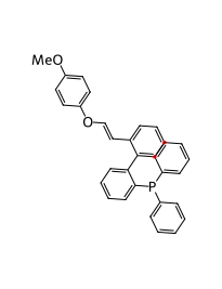 COc1ccc(OC=Cc2ccccc2-c2ccccc2P(c2ccccc2)c2ccccc2)cc1